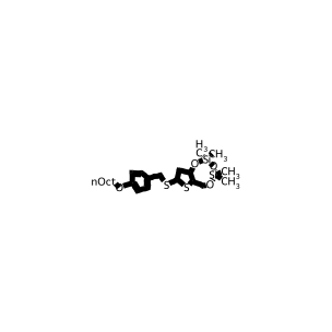 CCCCCCCCOc1ccc(CSC2CC3O[Si](C)(C)O[Si](C)(C)OCC3S2)cc1